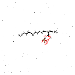 CCCCCCCCCCC(CC)C(=O)OS(=O)(=O)O